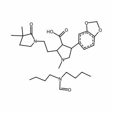 CCCCN(C=O)CCCC.CN1CC(c2ccc3c(c2)OCO3)C(C(=O)O)C1CCN1CCC(C)(C)C1=O